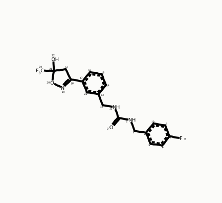 O=C(NCc1ccc(F)cc1)NCc1cccc(C2=NOC(O)(C(F)(F)F)C2)c1